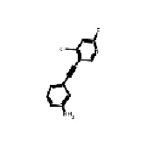 Nc1cccc(C#Cc2cnc(F)cc2Cl)c1